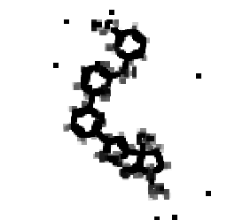 Cc1cccc(Nc2nccc(-c3cccc(-c4cc(C5(O)CCN(C)C5=O)on4)n3)n2)n1